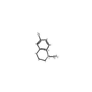 NN1CCCc2cc(Cl)ccc21